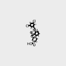 O=C(O)N1CCN(c2cccc(NCc3cc(Cl)cc(Cl)c3)c2[N+](=O)[O-])CC1